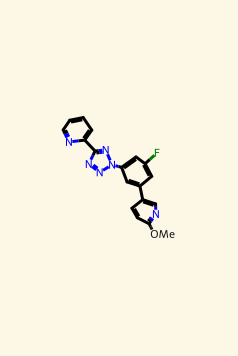 COc1ccc(-c2cc(F)cc(-n3nnc(-c4ccccn4)n3)c2)cn1